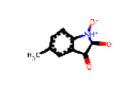 Cc1ccc2c(c1)C(=O)C(=O)[NH+]2[O-]